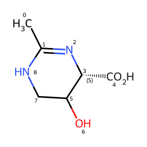 CC1=N[C@H](C(=O)O)C(O)CN1